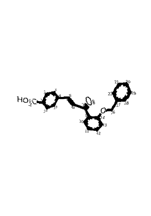 O=C(O)c1ccc(/C=C/C(=O)c2ccccc2OCc2ccccc2)cc1